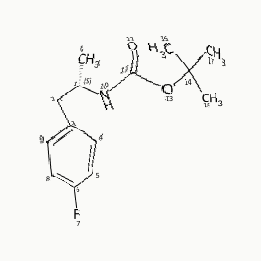 C[C@@H]([CH]c1ccc(F)cc1)NC(=O)OC(C)(C)C